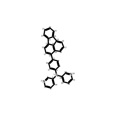 c1cncc(N(c2ccc(-c3ccc4c5c(cccc35)-c3ccccc3-4)cc2)c2cccnc2)c1